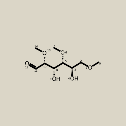 COC[C@@H](O)[C@@H](OC)[C@H](O)[C@H](C=O)OC